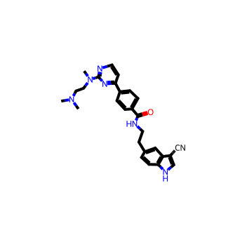 CN(C)CCN(C)c1nccc(-c2ccc(C(=O)NCCc3ccc4[nH]cc(C#N)c4c3)cc2)n1